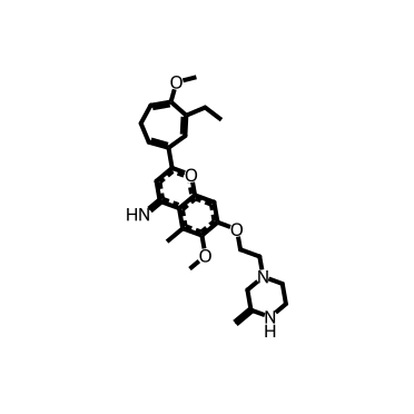 C=C1CN(CCOc2cc3oc(C4=CCC=C(OC)C(CC)=C4)cc(=N)c3c(C)c2OC)CCN1